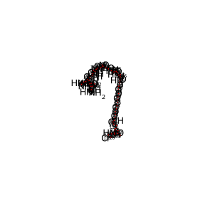 CC(=O)N1c2ccc(-c3ccc(C(=O)NCCOCCOCCOCCOCCOCCOCCOCCOCCNC(=O)c4cc(NC(=O)c5nc(NC(=O)CCNC(=O)c6cc(NC(=O)c7nc(NC(=O)CCNC(=O)[C@H](CCCNC(=N)N)NC(=O)[C@H](CCCNC(=N)N)NC(=O)OC(C)(C)C)cn7C)cn6C)cn5C)cn4C)cc3)cc2[C@H](Nc2ccc(Cl)cc2)C[C@@H]1C